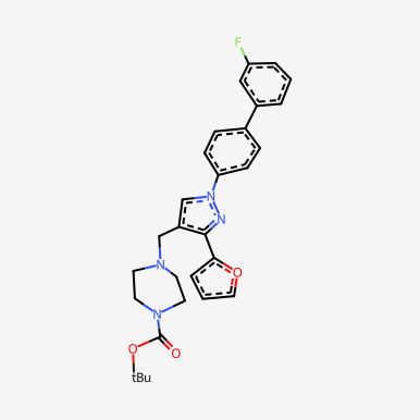 CC(C)(C)OC(=O)N1CCN(Cc2cn(-c3ccc(-c4cccc(F)c4)cc3)nc2-c2ccco2)CC1